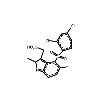 CC1N=c2ccc(F)c(S(=O)(=O)c3ccc(Cl)cc3Cl)c2=C1CC(=O)O